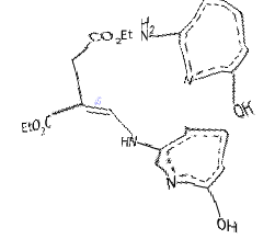 CCOC(=O)C/C(=C/Nc1cccc(O)n1)C(=O)OCC.Nc1cccc(O)n1